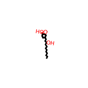 CCCCCCCCCC(O)CCc1ccc(O)c(OC)c1